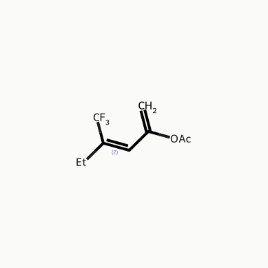 C=C(/C=C(/CC)C(F)(F)F)OC(C)=O